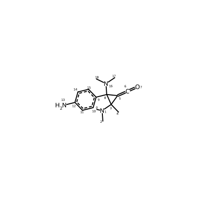 CN(C)C1(C)C(=C=O)C1(c1ccc(N)cc1)N(C)C